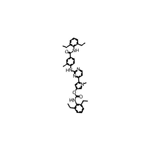 CCc1cccc(CC)c1NC(=O)Oc1cc(-c2ccnc(Nc3ccc(C(=O)Nc4c(CC)cccc4CC)cc3C)n2)n(C)c1